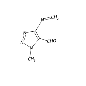 C=Nc1nnn(C)c1C=O